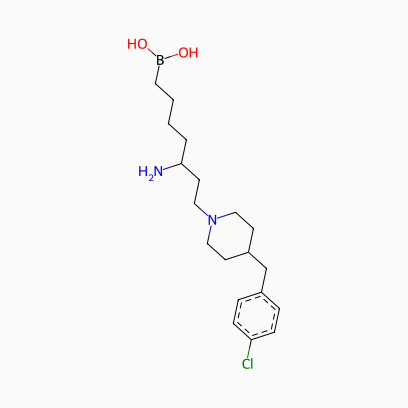 NC(CCCCB(O)O)CCN1CCC(Cc2ccc(Cl)cc2)CC1